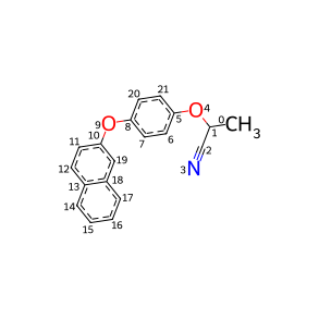 CC(C#N)Oc1ccc(Oc2ccc3ccccc3c2)cc1